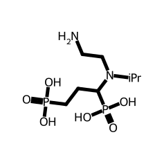 CC(C)N(CCN)C(CCP(=O)(O)O)P(=O)(O)O